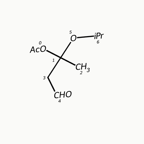 CC(=O)OC(C)(CC=O)OC(C)C